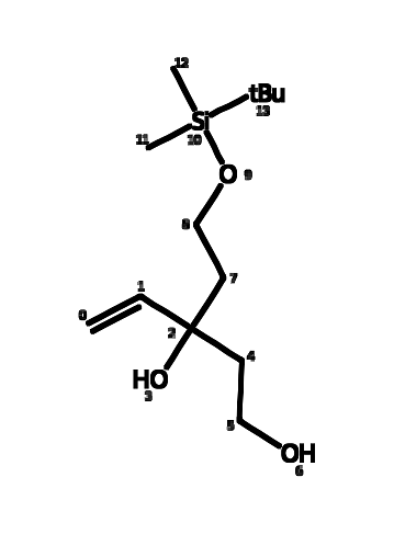 C=CC(O)(CCO)CCO[Si](C)(C)C(C)(C)C